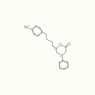 N#Cc1ccc(CCCC[C@@H]2C[C@H](c3ccccc3)CC(=O)O2)cc1